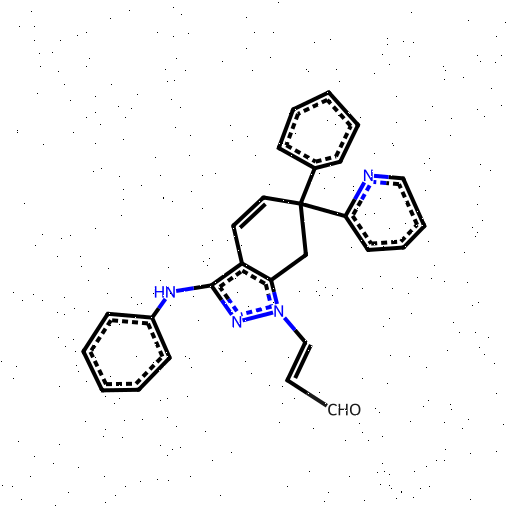 O=CC=Cn1nc(Nc2ccccc2)c2c1CC(c1ccccc1)(c1ccccn1)C=C2